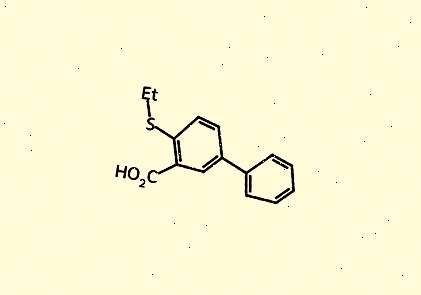 CCSc1ccc(-c2ccccc2)cc1C(=O)O